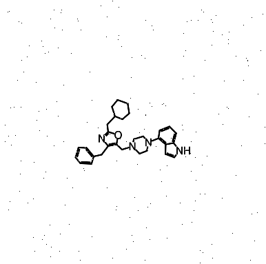 c1ccc(Cc2nc(CC3CCCCC3)oc2CN2CCN(c3cccc4[nH]ccc34)CC2)cc1